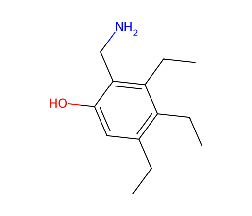 CCc1cc(O)c(CN)c(CC)c1CC